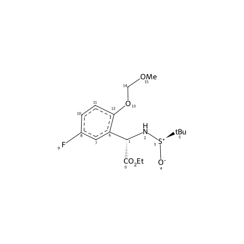 CCOC(=O)[C@@H](N[S@+]([O-])C(C)(C)C)c1cc(F)ccc1OCOC